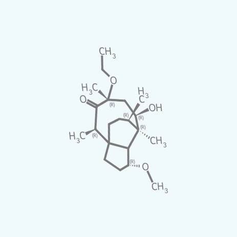 CCO[C@]1(C)C[C@@H](O)[C@@]2(C)C3[C@H](OC)CCC3(CC[C@H]2C)[C@@H](C)C1=O